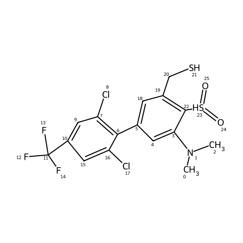 CN(C)c1cc(-c2c(Cl)cc(C(F)(F)F)cc2Cl)cc(CS)c1[SH](=O)=O